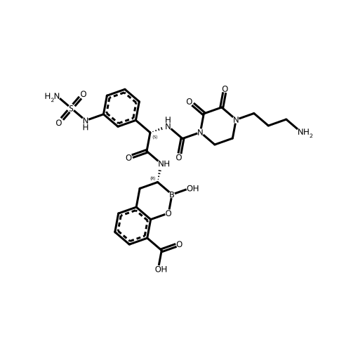 NCCCN1CCN(C(=O)N[C@H](C(=O)N[C@H]2Cc3cccc(C(=O)O)c3OB2O)c2cccc(NS(N)(=O)=O)c2)C(=O)C1=O